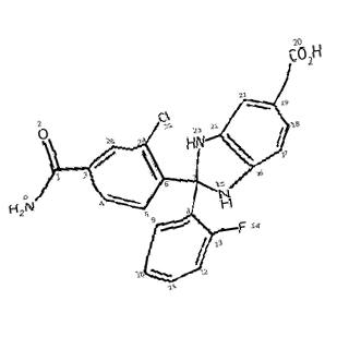 NC(=O)c1ccc(C2(c3ccccc3F)Nc3ccc(C(=O)O)cc3N2)c(Cl)c1